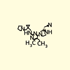 CCc1c(C)nc(NCC2(CN3CCCC3)CC2)nc1N1CCN[C@@H](CC#N)C1